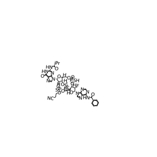 CC(C)C(=O)Nc1nc2c(ncn2[C@@H]2O[C@@H]3COP(=O)(S)O[C@H]4[C@@H](F)[C@H](n5cnc6c(NC(=O)c7ccccc7)ncnc65)O[C@@H]4COP(=S)(OCCC#N)O[C@@H]2[C@@H]3O[Si](C)(C)C(C)(C)C)c(=O)[nH]1